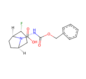 O=C(N[C@@H]1C[C@H]2CC[C@@H]([C@@H]1F)N2C(=O)O)OCc1ccccc1